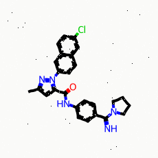 Cc1cc(C(=O)Nc2ccc(C(=N)N3CCCC3)cc2)n(-c2ccc3cc(Cl)ccc3c2)n1